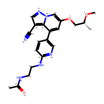 CO[C@H](C)COc1cc(-c2ccc(NCCNC(C)=O)nc2)c2c(C#N)cnn2c1